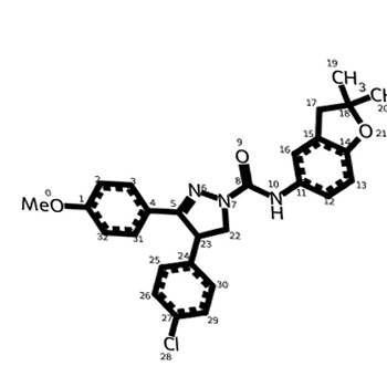 COc1ccc(C2=NN(C(=O)Nc3ccc4c(c3)CC(C)(C)O4)CC2c2ccc(Cl)cc2)cc1